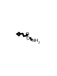 NCCOC(=O)CCC1CCC1